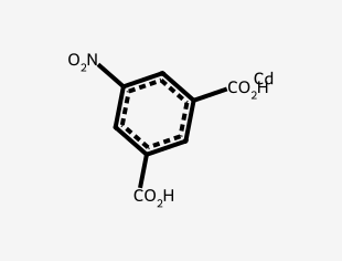 O=C(O)c1cc(C(=O)O)cc([N+](=O)[O-])c1.[Cd]